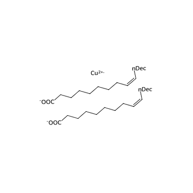 CCCCCCCCCC/C=C\CCCCCCCC(=O)[O-].CCCCCCCCCC/C=C\CCCCCCCC(=O)[O-].[Cu+2]